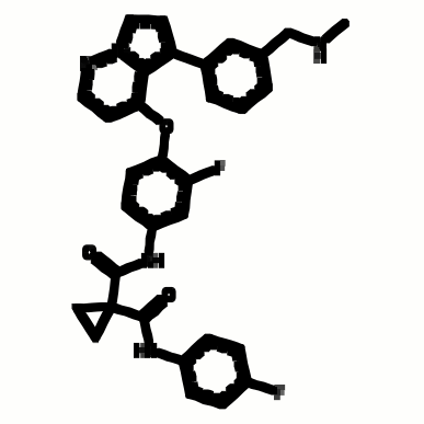 CNCc1cccc(-c2ccn3nccc(Oc4ccc(NC(=O)C5(C(=O)Nc6ccc(F)cc6)CC5)cc4F)c23)c1